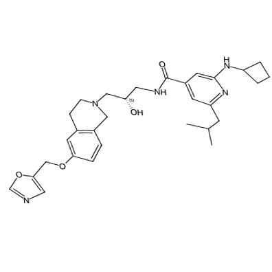 CC(C)Cc1cc(C(=O)NC[C@H](O)CN2CCc3cc(OCc4cnco4)ccc3C2)cc(NC2CCC2)n1